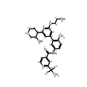 Cc1ccc(NC(=O)c2ccnc(C(C)(F)F)c2)cc1-c1cc(OCCO)nc(C2CCOCC2O)c1